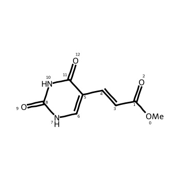 COC(=O)/C=C/c1c[nH]c(=O)[nH]c1=O